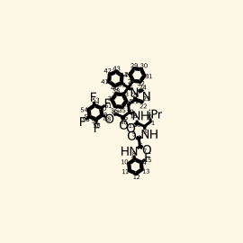 CC(C)CC(NC(=O)C(=O)Nc1ccccc1F)C(=O)NC(Cc1cncn1C(c1ccccc1)(c1ccccc1)c1ccccc1)C(=O)COc1c(F)c(F)cc(F)c1F